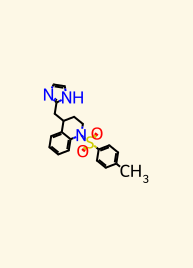 Cc1ccc(S(=O)(=O)N2CCC(Cc3ncc[nH]3)c3ccccc32)cc1